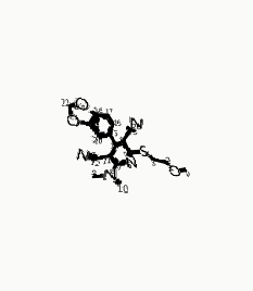 COCCSc1nc(N(C)C)c(C#N)c(-c2ccc3c(c2)OCO3)c1C#N